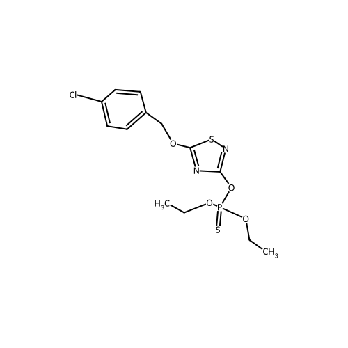 CCOP(=S)(OCC)Oc1nsc(OCc2ccc(Cl)cc2)n1